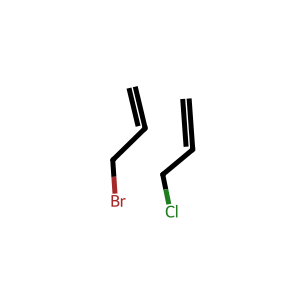 C=CCBr.C=CCCl